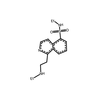 CCNCCc1nccc2c(S(=O)(=O)NCC)cccc12